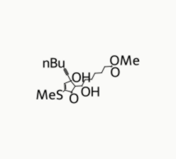 CCCCC#CC1(O)C=C(SC)C(=O)C1C(O)CCCCCC(=O)OC